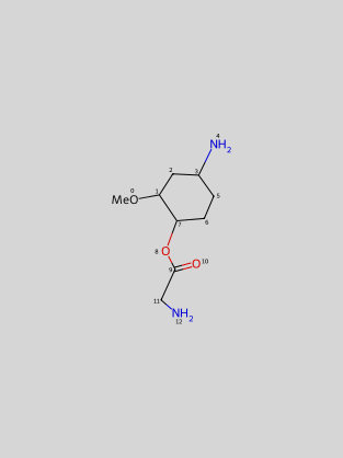 COC1CC(N)CCC1OC(=O)CN